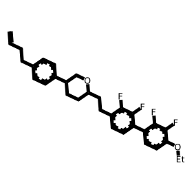 C=CCCc1ccc(C2CCC(CCc3ccc(-c4ccc(OCC)c(F)c4F)c(F)c3F)OC2)cc1